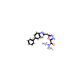 CN(C)C(=O)c1nnc(Cc2nc3ccc(-c4ccccc4)cc3s2)o1